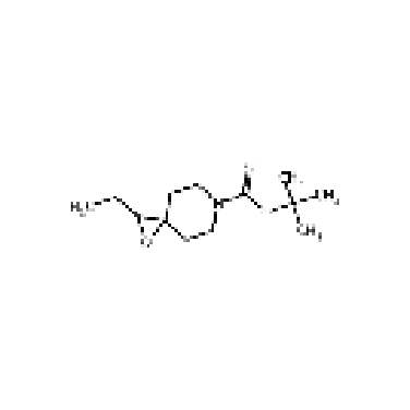 CCC1OC12CCN(C(=O)OC(C)(C)C)CC2